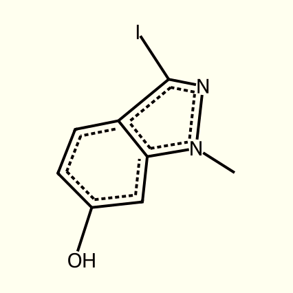 Cn1nc(I)c2ccc(O)cc21